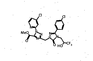 COC(=O)c1nc(Cn2nc(-c3ccc(Cl)cc3)n(CC(O)C(F)(F)F)c2=O)nn1-c1cc(Cl)ccn1